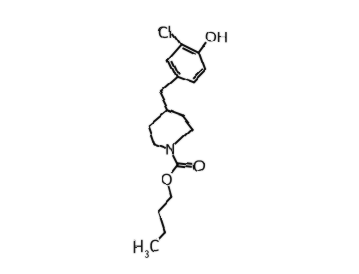 CCCCOC(=O)N1CCC(Cc2ccc(O)c(Cl)c2)CC1